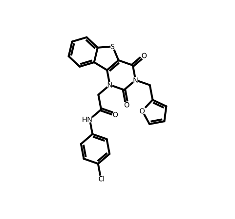 O=C(Cn1c(=O)n(Cc2ccco2)c(=O)c2sc3ccccc3c21)Nc1ccc(Cl)cc1